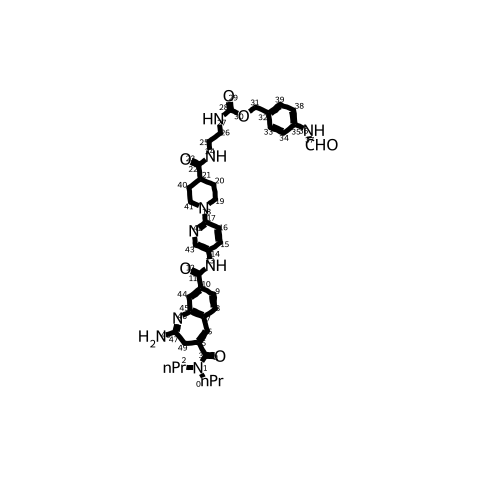 CCCN(CCC)C(=O)C1=Cc2ccc(C(=O)Nc3ccc(N4CCC(C(=O)NCCNC(=O)OCc5ccc(NC=O)cc5)CC4)nc3)cc2N=C(N)C1